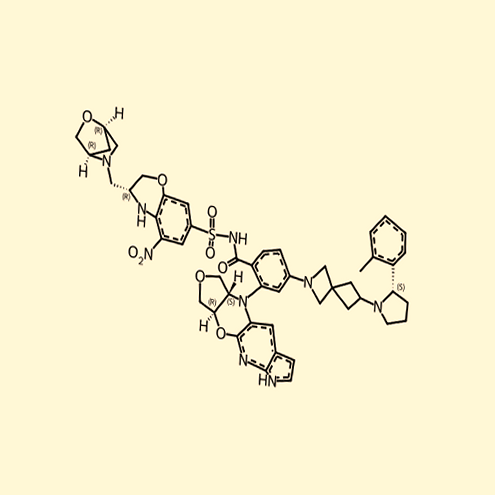 Cc1ccccc1[C@@H]1CCCN1C1CC2(C1)CN(c1ccc(C(=O)NS(=O)(=O)c3cc4c(c([N+](=O)[O-])c3)N[C@H](CN3C[C@H]5C[C@@H]3CO5)CO4)c(N3c4cc5cc[nH]c5nc4O[C@H]4COC[C@@H]43)c1)C2